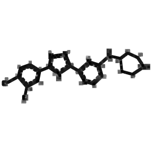 Clc1ccc(-c2nnc(-c3nccc(NC4CCNCC4)n3)[nH]2)cc1Cl